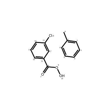 Cc1ccccc1.O=C(OO)c1cccc(Cl)c1